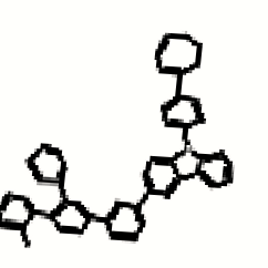 Cc1ccccc1-c1ccc(-c2cccc(-c3ccc4c(c3)c3ccccc3n4-c3ccc(C4=CC=CCCC4)cc3)c2)cc1-c1ccccc1